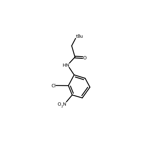 CC(C)(C)CC(=O)Nc1cccc([N+](=O)[O-])c1Cl